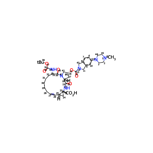 CN1CCN(c2ccc3c(c2)CN(C(=O)O[C@@H]2C[C@H]4C(=O)N[C@]5(C(=O)O)C[C@H]5/C=C\CCCCC[C@H](NC(=O)OC(C)(C)C)C(=O)N4C2)C3)CC1